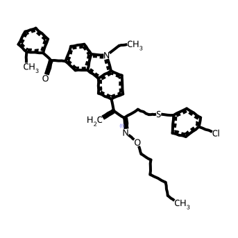 C=C(/C(CCSc1ccc(Cl)cc1)=N/OCCCCCC)c1ccc2c(c1)c1cc(C(=O)c3ccccc3C)ccc1n2CC